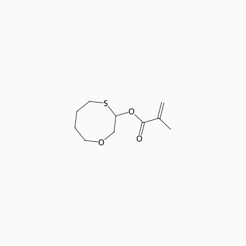 C=C(C)C(=O)OC1COCCCCS1